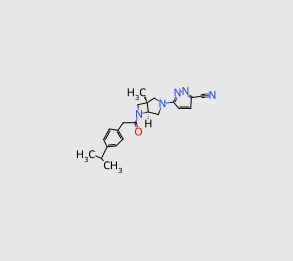 CC(C)c1ccc(CC(=O)N2C[C@]3(C)CN(c4ccc(C#N)nn4)C[C@@H]23)cc1